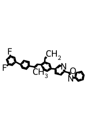 C=Cc1cc(-c2ccc(-c3nc4ccccc4o3)nc2)ccc1/C=C(\C)c1ccc(-c2cc(F)cc(F)c2)cc1